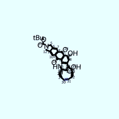 CC(C)(C)OC(=O)N1Cc2cc3c(cc2C1)C(=O)c1c2c(cc(O)c1C3=O)[C@@]13OC1[C@H](C#C/C=C\C#C[C@H]3O)N2